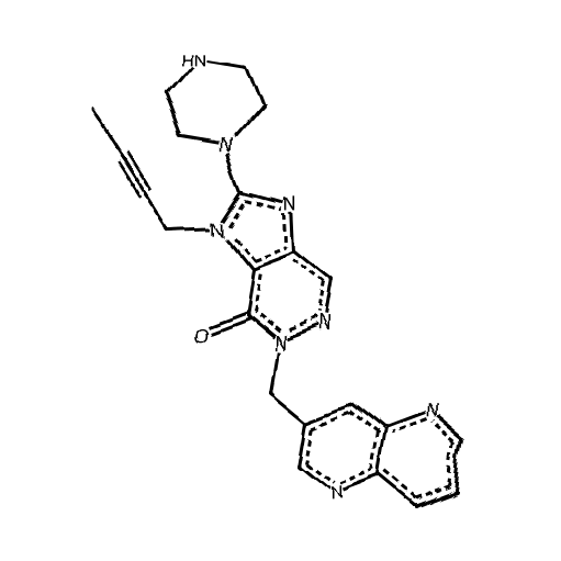 CC#CCn1c(N2CCNCC2)nc2cnn(Cc3cnc4cccnc4c3)c(=O)c21